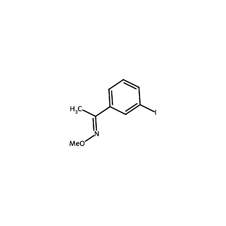 CON=C(C)c1cccc(I)c1